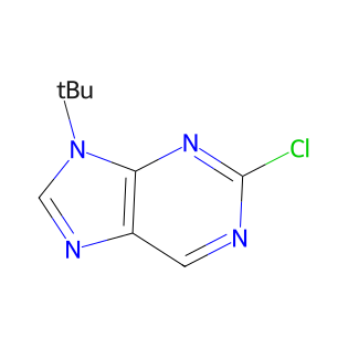 CC(C)(C)n1cnc2cnc(Cl)nc21